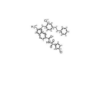 Cc1nc2ccc(C(=O)NS(=O)(=O)c3ccc(Cl)s3)nc2n1Cc1ccc(CCc2ccccc2)cc1Cl